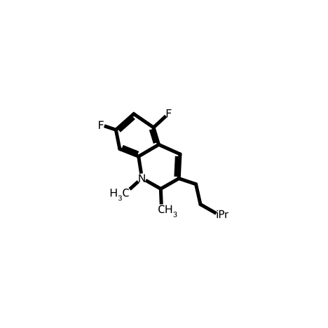 CC(C)CCC1=Cc2c(F)cc(F)cc2N(C)C1C